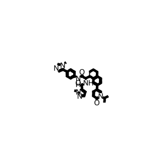 CC(C)n1cc(-c2ccc3c(c2)[C@@H]([C@@H](NC(=O)c2ccnn2C)C(=O)Nc2ccc(-c4cncn4C)cc2)CCC3)ccc1=O